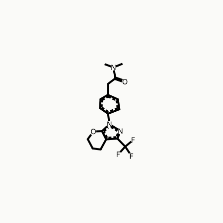 CN(C)C(=O)Cc1ccc(-n2nc(C(F)(F)F)c3c2OCCC3)cc1